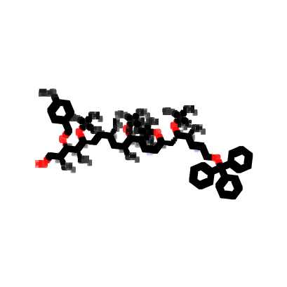 COc1ccc(CO[C@H]([C@@H](C)[C@@H](CC[C@H](C)C[C@H](C)[C@@H](O[Si](C)(C)C(C)(C)C)[C@@H](C)/C=C\[C@H](C[C@H](O[Si](C)(C)C(C)(C)C)[C@H](C)/C=C/COC(c2ccccc2)(c2ccccc2)c2ccccc2)O[Si](C)(C)C(C)(C)C)O[Si](C)(C)C(C)(C)C)[C@@H](C)CO)cc1